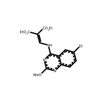 CCOC(=O)C(=CNc1nc(OC)nc2ccc(CC)cc12)C(=O)OCC